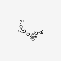 Cn1cc(-c2cnc(N)c(C(=O)N[C@H]3CCC[C@@H]3OCc3ccc(-c4ccc5c(c4)C[C@H](F)[C@@H]5N4CCN(CCO)CC4)cc3)c2)cn1